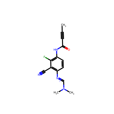 CC#CC(=O)Nc1ccc(/N=C/N(C)C)c(C#N)c1F